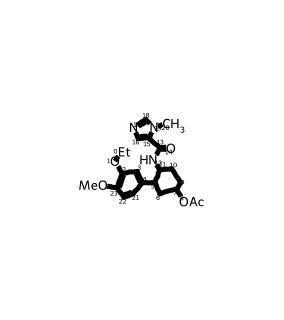 CCOc1cc(C2CC(OC(C)=O)CCC2NC(=O)c2cncn2C)ccc1OC